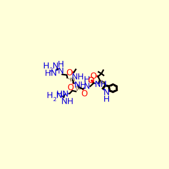 CC(=O)N[C@@H](CCCNC(=N)N)C(=O)N[C@@H](CCCNC(=N)N)C(=O)NCC(=O)N[C@@H](Cc1c[nH]c2ccccc12)C(=O)C(C)(C)C